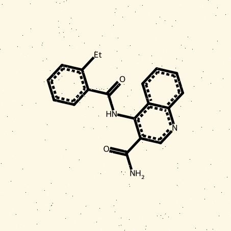 CCc1ccccc1C(=O)Nc1c(C(N)=O)cnc2ccccc12